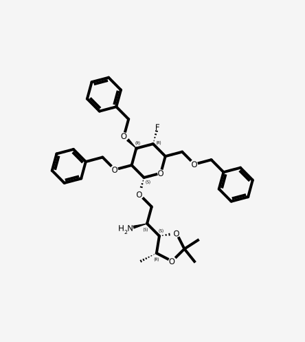 C[C@H]1OC(C)(C)O[C@H]1[C@@H](N)CO[C@H]1OC(COCc2ccccc2)[C@@H](F)[C@H](OCc2ccccc2)C1OCc1ccccc1